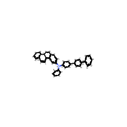 C1=CC2c3cc(N(c4ccccc4)c4ccc(-c5ccc(-c6ccccc6)cc5)cc4)ccc3C=CC2c2ccccc21